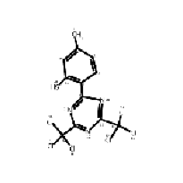 Cc1ccc(-c2nc(C(Cl)(Cl)Cl)nc(C(Cl)(Cl)Cl)n2)c(S)c1